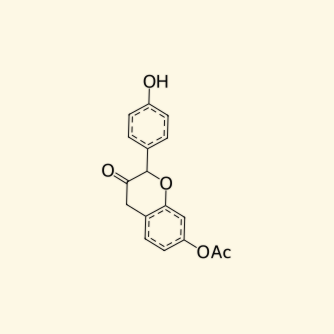 CC(=O)Oc1ccc2c(c1)OC(c1ccc(O)cc1)C(=O)C2